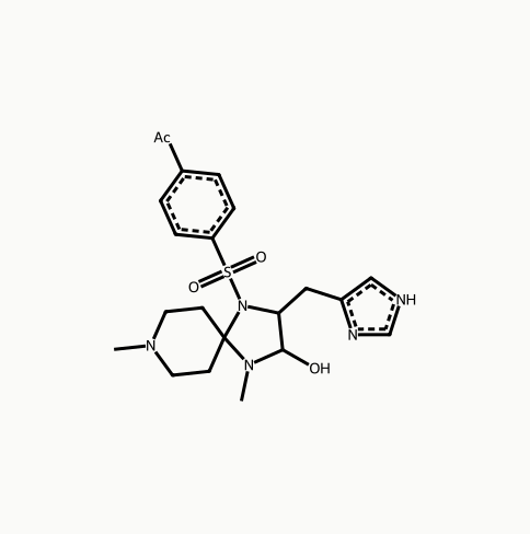 CC(=O)c1ccc(S(=O)(=O)N2C(Cc3c[nH]cn3)C(O)N(C)C23CCN(C)CC3)cc1